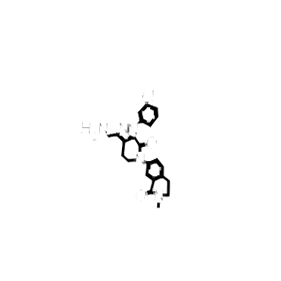 CN1CCc2ccc(N3CCc4c(CN)nn(-c5cccc(Cl)c5)c4C3=O)cc2C1=O